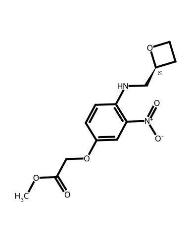 COC(=O)COc1ccc(NC[C@@H]2CCO2)c([N+](=O)[O-])c1